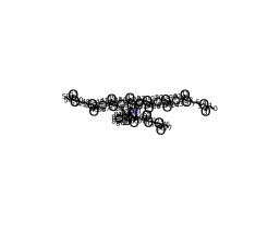 C=CC(=O)OCCCCOC(=O)C1CCC(C(=O)OC2CCC(C(=O)Oc3ccc(OC(=O)C4CCC(OC(=O)C5CCC(C(=O)OCCCCOC(=O)C=C)CC5)CC4)c(/C=N/N(C(=O)CCC(=O)OCCOC(=O)C=C)c4nc5ccccc5s4)c3)CC2)CC1